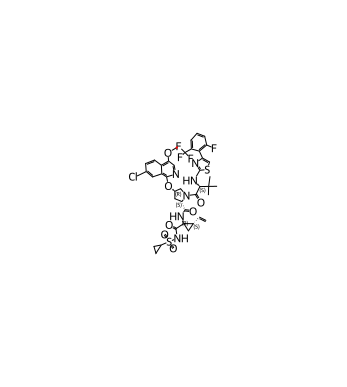 C=C[C@@H]1C[C@]1(NC(=O)[C@@H]1C[C@@H](Oc2ncc(OC)c3ccc(Cl)cc23)CN1C(=O)[C@@H](Nc1nc(-c2c(F)cccc2C(F)(F)F)cs1)C(C)(C)C)C(=O)NS(=O)(=O)C1CC1